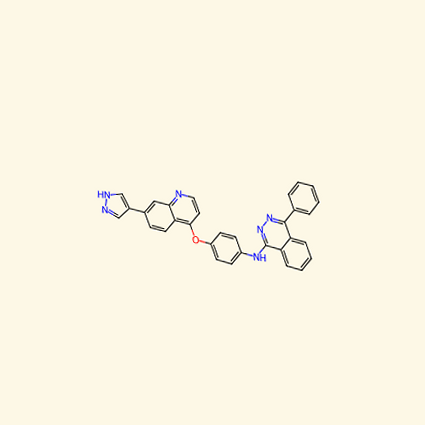 c1ccc(-c2nnc(Nc3ccc(Oc4ccnc5cc(-c6cn[nH]c6)ccc45)cc3)c3ccccc23)cc1